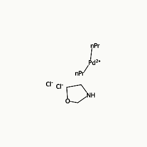 C1COCN1.CC[CH2][Pd+2][CH2]CC.[Cl-].[Cl-]